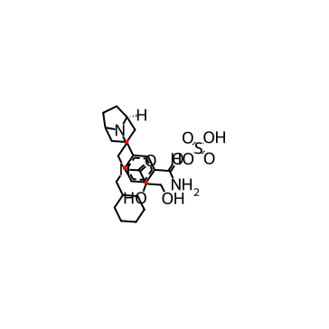 NC(=O)c1cccc(C2CC3CC[C@@H](C2)N3CCN(CC2CCCCC2)C(=O)C(O)CO)c1.O=S(=O)(O)O